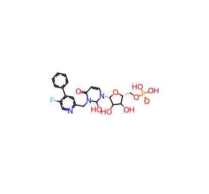 O=C1C=CN([C@@H]2O[C@H](COP(=O)(O)O)C(O)C2O)C(O)N1Cc1cc(-c2ccccc2)c(F)cn1